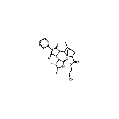 CC1C(=O)NC(=O)C1C1C(=O)N(c2ccccc2)C(=O)C1C1C(C)C2CC(C(=O)OCCO)C1C2